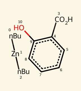 CCC[CH2][Zn][CH2]CCC.O=C(O)c1ccccc1O